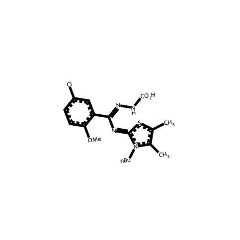 CCCCn1c(C)c(C)s/c1=N\C(=N/NC(=O)O)c1cc(Cl)ccc1OC